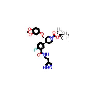 CC(C)(C)OC(=O)N1CC[C@@H](c2ccc(F)c(C(=O)NCCc3cn[nH]c3)c2)[C@H](COc2ccc3c(c2)OCO3)C1